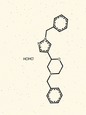 Cl.Cl.c1ccc(CN2CCOC(c3cnn(Cc4ccccc4)c3)C2)cc1